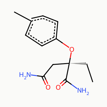 CC[C@](CC(N)=O)(Oc1ccc(C)cc1)C(N)=O